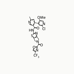 COc1cnc(Cl)cc1-c1cc(C)ncc1C(=O)Nc1nc2c(s1)CN(C(=O)c1nc(C(F)(F)F)co1)C2